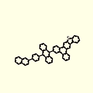 c1ccc2cc(-c3ccc(-c4c5ccccc5c(-c5ccc6c(c5)c5ccccc5c5cc7c(cc65)sc5ccccc57)c5ccccc45)cc3)ccc2c1